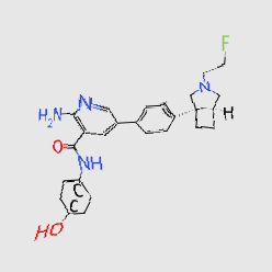 Nc1ncc(-c2ccc([C@@]34CC[C@@H]3CN(CCF)C4)cc2)cc1C(=O)NC12CCC(O)(CC1)CC2